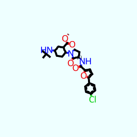 COC(=O)C1CC(NC(C)(C)C)CCC1N1CC[C@H](NC(=O)c2ccc(-c3ccc(Cl)cc3)o2)C1=O